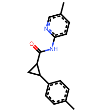 Cc1ccc(C2CC2C(=O)Nc2ccc(C)cn2)cc1